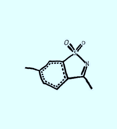 CC1=NS(=O)(=O)c2cc(C)ccc21